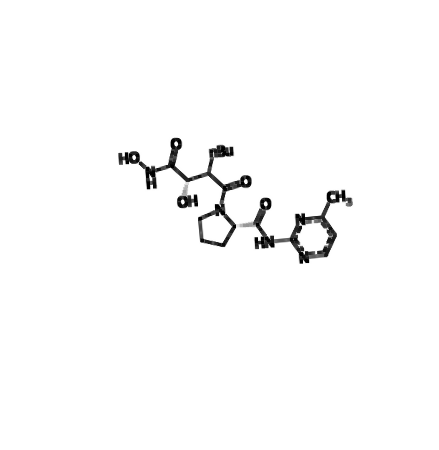 CCCCC(C(=O)N1CCC[C@H]1C(=O)Nc1nccc(C)n1)[C@H](O)C(=O)NO